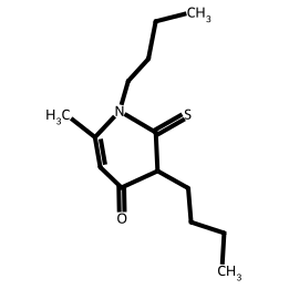 CCCCC1C(=O)C=C(C)N(CCCC)C1=S